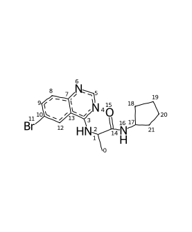 CC(Nc1ncnc2ccc(Br)cc12)C(=O)NC1CCCC1